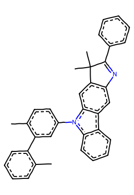 Cc1ccccc1-c1cc(-n2c3ccccc3c3cc4c(cc32)C(C)(C)C(c2ccccc2)=N4)ccc1C